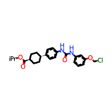 CC(C)OC(=O)[C@H]1CC[C@H](c2ccc(NC(=O)Nc3cccc(OCCl)c3)cc2)CC1